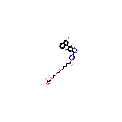 O=C(O)COCCOCCOCC/C=C/C(=O)N1CCN(c2ncnc3c(F)c(-c4cc(O)cc5ccccc45)c(Cl)cc23)CC1